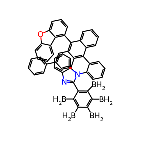 Bc1c(B)c(B)c(-c2nc3ccccc3n2-c2ccccc2-c2c3ccccc3c(-c3cccc4oc5ccccc5c34)c3cc(-c4ccccc4)ccc23)c(B)c1B